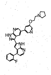 Fc1ccccc1-c1ccnc2[nH]c(-c3n[nH]c4ncc(-c5cncc(OCCN6CCCC6)c5)cc34)cc12